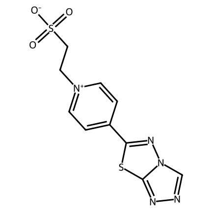 O=S(=O)([O-])CC[n+]1ccc(-c2nn3cnnc3s2)cc1